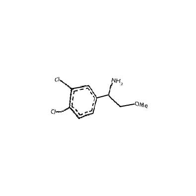 COCC(N)c1ccc(Cl)c(Cl)c1